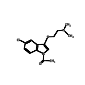 CC(=O)n1cc(OCCN(C)C)c2cc(Cl)ccc21